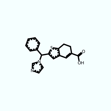 O=C(O)C1=Cc2cc(C(c3ccccc3)n3ccnc3)sc2CC1